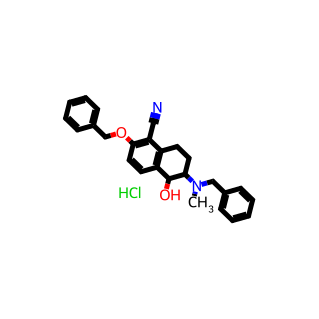 CN(Cc1ccccc1)C1CCc2c(ccc(OCc3ccccc3)c2C#N)C1O.Cl